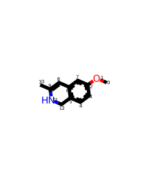 COc1ccc2c(c1)C=C(C)NC2